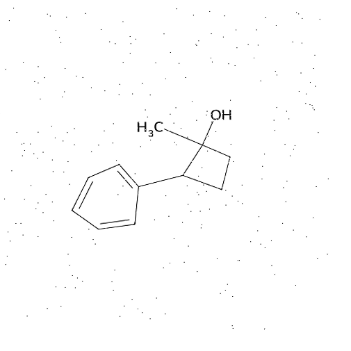 CC1(O)CCC1c1ccccc1